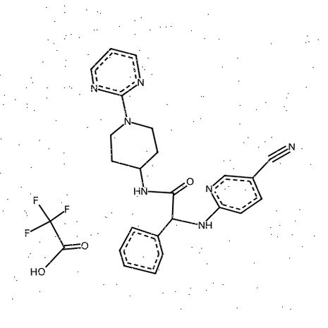 N#Cc1ccc(NC(C(=O)NC2CCN(c3ncccn3)CC2)c2ccccc2)nc1.O=C(O)C(F)(F)F